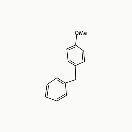 COc1[c]cc(Cc2ccccc2)cc1